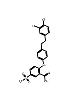 CS(=O)(=O)c1ccc(Nc2ccc(CCc3ccc(Cl)c(Cl)c3)cc2)c(C(=O)O)c1